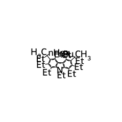 CCCCCCC(C)(CC)c1c(CC)c(CC)c2c(c1CC)c1c(CC)c(C(C)(CC)CCCC)c(CC)c(CC)c1n2CC